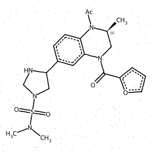 CC(=O)N1c2ccc(C3CN(S(=O)(=O)N(C)C)CN3)cc2N(C(=O)c2ccco2)C[C@@H]1C